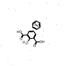 Cc1c(C(=O)O)cccc1C(=O)O.c1cc2ccc1CO2